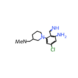 CNCC1CCCN(c2cc(Cl)cc(N)c2C=N)C1